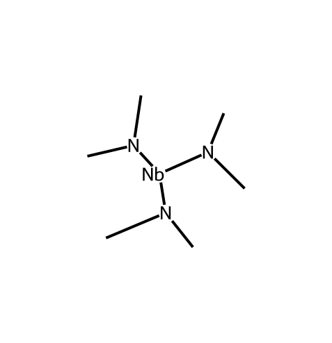 C[N](C)[Nb]([N](C)C)[N](C)C